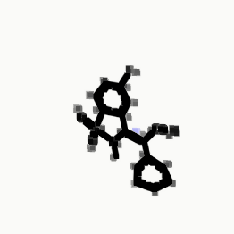 CN1/C(=C(/C(=O)O)c2ccccc2)c2cc(F)ccc2S1(=O)=O